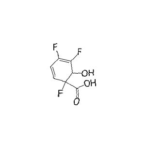 O=C(O)C1(F)C=CC(F)=C(F)C1O